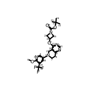 COc1ncc(N2CCc3ncnc(OC4CN(C(=O)OC(C)(C)C)C4)c3C2)cc1C(F)(F)F